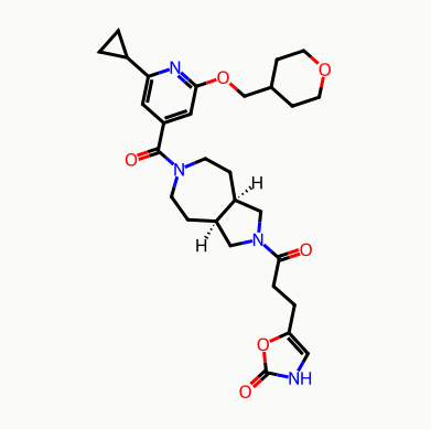 O=C(CCc1c[nH]c(=O)o1)N1C[C@H]2CCN(C(=O)c3cc(OCC4CCOCC4)nc(C4CC4)c3)CC[C@H]2C1